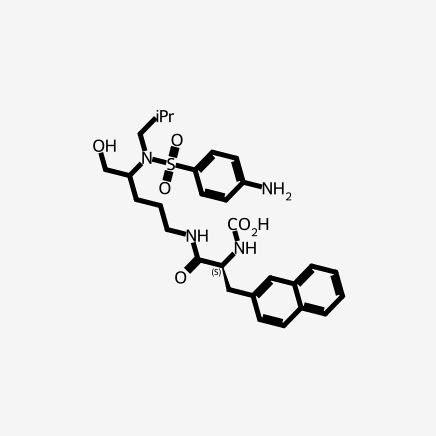 CC(C)CN(C(CO)CCCNC(=O)[C@H](Cc1ccc2ccccc2c1)NC(=O)O)S(=O)(=O)c1ccc(N)cc1